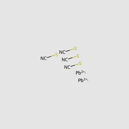 N#C[S-].N#C[S-].N#C[S-].N#C[S-].[Pb+2].[Pb+2]